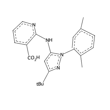 Cc1ccc(C)c(-n2nc(C(C)(C)C)cc2Nc2ncccc2C(=O)O)c1